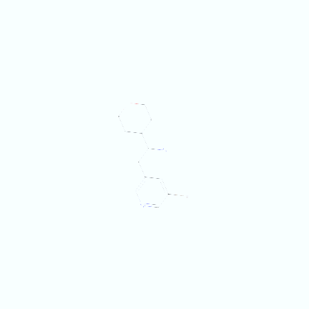 NC(Cc1cncc(Br)c1)C1CCOCC1